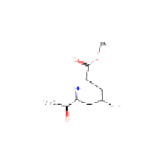 CCCC(CCC(=O)OC(C)(C)C)CC(N)C(=O)OC